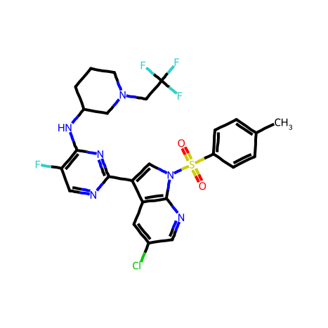 Cc1ccc(S(=O)(=O)n2cc(-c3ncc(F)c(NC4CCCN(CC(F)(F)F)C4)n3)c3cc(Cl)cnc32)cc1